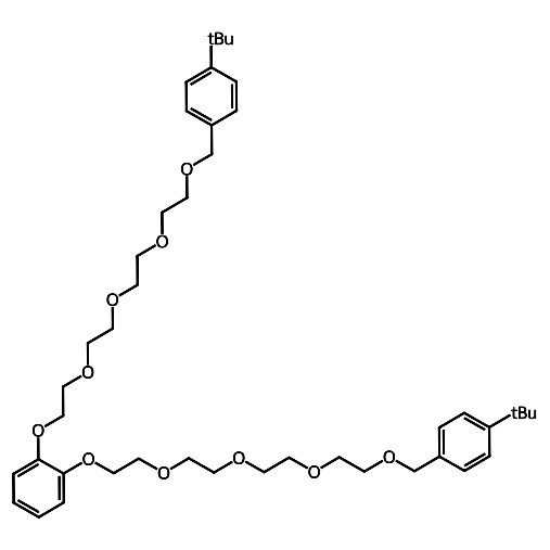 CC(C)(C)c1ccc(COCCOCCOCCOCCOc2ccccc2OCCOCCOCCOCCOCc2ccc(C(C)(C)C)cc2)cc1